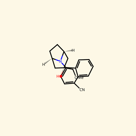 COC[C@@]1(O)C[C@H]2CC[C@@H](C1)N2c1ccc(C#N)c2ccccc12